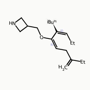 C=C(CC)C/C=C(OCC1CNC1)\C(=C/CC)[C@H](C)CC